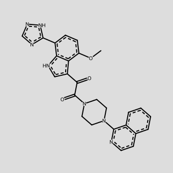 COc1ccc(-c2ncn[nH]2)c2[nH]cc(C(=O)C(=O)N3CCN(c4nccc5ccccc45)CC3)c12